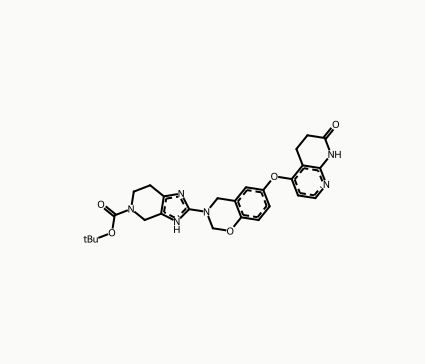 CC(C)(C)OC(=O)N1CCc2nc(N3COc4ccc(Oc5ccnc6c5CCC(=O)N6)cc4C3)[nH]c2C1